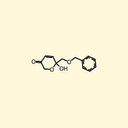 O=C1C=CC(O)(COCc2ccccc2)OC1